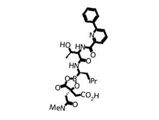 CNC(=O)C[C@@]1(CC(=O)O)OB([C@H](CC(C)C)NC(=O)C(NC(=O)c2cccc(-c3ccccc3)n2)[C@@H](C)O)OC1=O